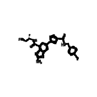 C[C@@H](CO)NC(=O)c1cc(-c2csc(C(=O)NCc3ccc(F)cc3)c2)cn2nc(N)nc12